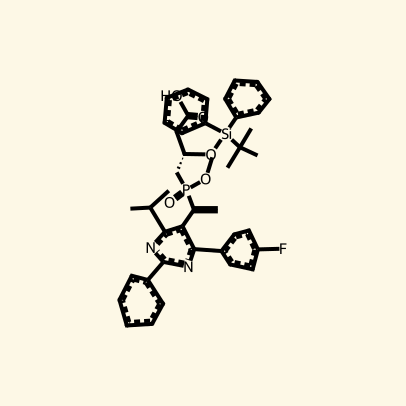 C=C(c1c(-c2ccc(F)cc2)nc(-c2ccccc2)nc1C(C)C)P(=O)(C[C@H](CC(=O)O)O[Si](c1ccccc1)(c1ccccc1)C(C)(C)C)OC